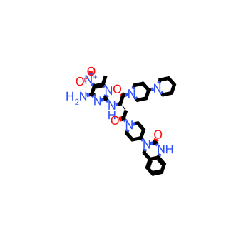 Cc1nc(N[C@@H](CC(=O)N2CCC(N3Cc4ccccc4NC3=O)CC2)C(=O)N2CCC(N3CCCCC3)CC2)nc(N)c1[N+](=O)[O-]